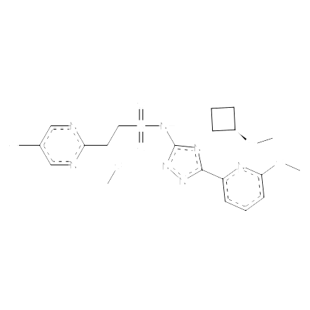 COc1cccc(-c2nnc(NS(=O)(=O)[C@@H](C)[C@H](OC)c3ncc(Cl)cn3)n2[C@@H]2CC[C@H]2OC)n1